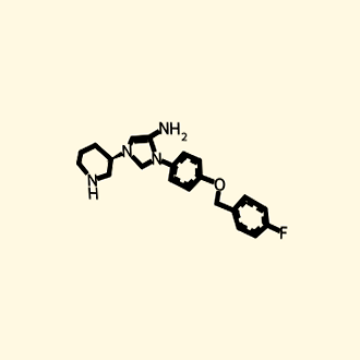 NC1=CN([C@@H]2CCCNC2)CN1c1ccc(OCc2ccc(F)cc2)cc1